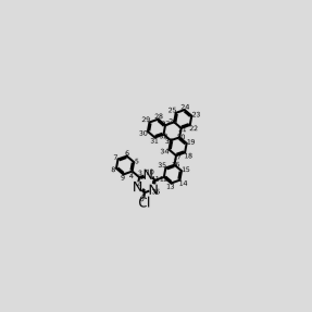 Clc1nc(-c2ccccc2)nc(-c2cccc(-c3ccc4c5ccccc5c5ccccc5c4c3)c2)n1